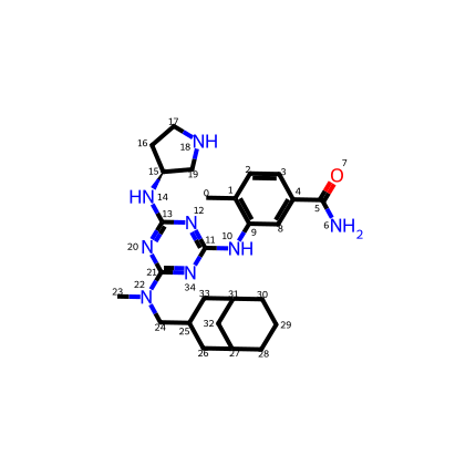 Cc1ccc(C(N)=O)cc1Nc1nc(N[C@H]2CCNC2)nc(N(C)CC2CC3CCCC(C3)C2)n1